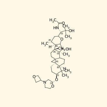 CC(=O)N[C@@H](C1C[C@@H](C)[C@H]2C(O1)[C@H](O)[C@@]1(C)C3CC[C@H]4C(C)(C)[C@@H](O[C@H]5CN(C6COC6)CCO5)CC[C@@]45CC35CC[C@]21C)C(C)(C)O